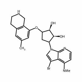 CNc1ccnc2c1c(Br)cn2C1CC(Oc2cc(C)cc3c2CNCC3)[C@@H](O)[C@H]1O